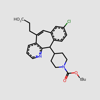 CC(C)(C)OC(=O)N1CCC(C2c3ccc(Cl)cc3C=C(CCC(=O)O)c3cccnc32)CC1